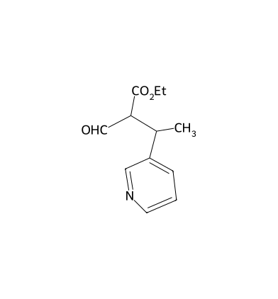 CCOC(=O)C(C=O)C(C)c1cccnc1